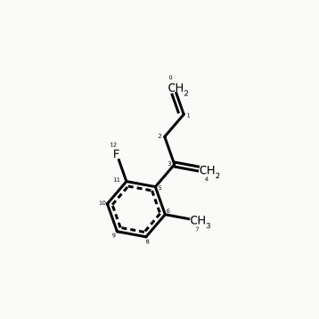 C=CCC(=C)c1c(C)cccc1F